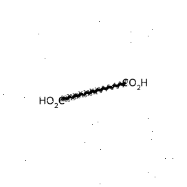 O=C(O)CCCCCCCCCCCCCCCCCCCCCCC(=O)O